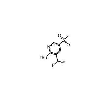 CC(C)(C)c1ncc(S(C)(=O)=O)cc1C(F)F